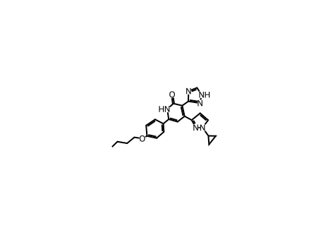 CCCCOc1ccc(-c2cc(-c3ccn(C4CC4)n3)c(-c3nc[nH]n3)c(=O)[nH]2)cc1